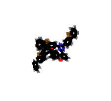 c1ccc(-c2ccc3c(c2)sc2cccc(-c4ccc5oc6cccc(-c7nc(-c8ccc9c(c8)sc8ccccc89)nc(-c8ccc9c(c8)sc8ccccc89)n7)c6c5c4)c23)cc1